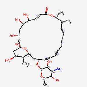 CC1OC(=O)/C=C/C(O)C(O)CC(O)CC2(O)C[C@H](O)C(C(=O)O)[C@H](CC(OC3O[C@H](C)C(O)[C@H](N)[C@@H]3O)/C=C/C=C/C=C/C=C/[C@@H]1C)O2